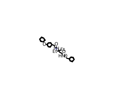 CCC(CC)(CC(=O)NOCc1ccccc1)/N=N/C(=O)c1ccc(Oc2ccccc2)cc1